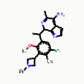 CCOc1c(C(C)C2N=C(C)C(N)=C3C=CN=C32)cc(Cl)c(C#N)c1C1CN(C(C)C)C1